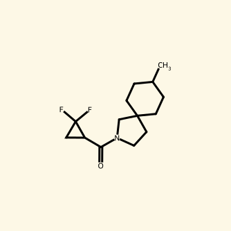 CC1CCC2(CC1)CCN(C(=O)C1CC1(F)F)C2